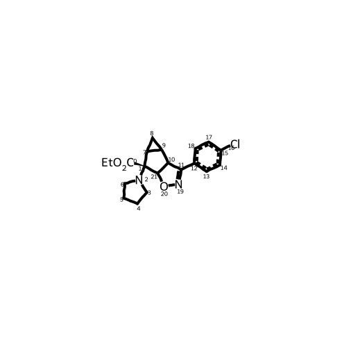 CCOC(=O)[C@@]1(N2CCCC2)C2CC2C2C(c3ccc(Cl)cc3)=NOC21